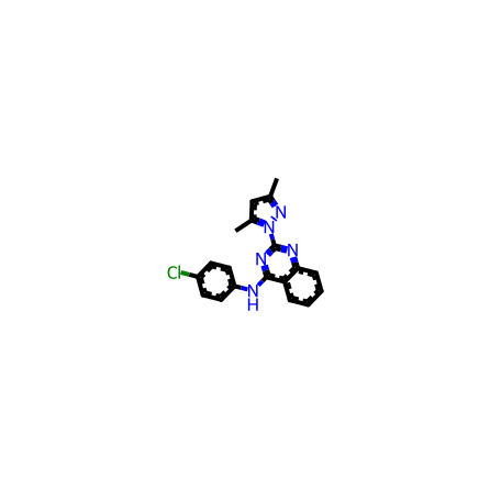 Cc1cc(C)n(-c2nc(Nc3ccc(Cl)cc3)c3ccccc3n2)n1